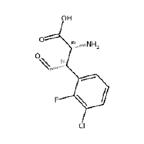 N[C@@H](C(=O)O)[C@@H](C=O)c1cccc(Cl)c1F